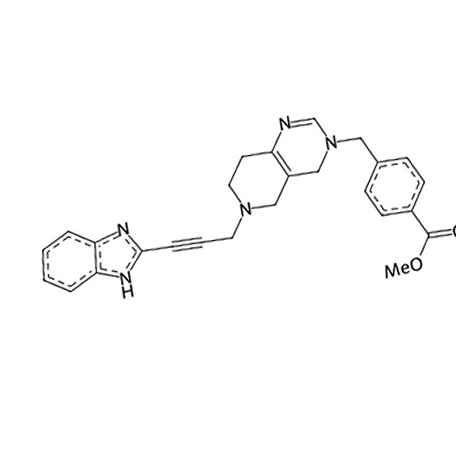 COC(=O)c1ccc(CN2C=NC3=C(C2)CN(CC#Cc2nc4ccccc4[nH]2)CC3)cc1